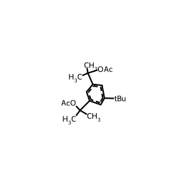 CC(=O)OC(C)(C)c1cc(C(C)(C)C)cc(C(C)(C)OC(C)=O)c1